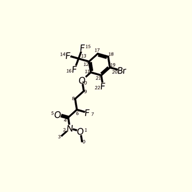 CON(C)C(=O)C(F)CCOc1c(C(F)(F)F)ccc(Br)c1F